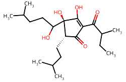 CCC(C)C(=O)C1=C(O)[C@@](O)(C(O)CCC(C)C)[C@@H](CCC(C)C)C1=O